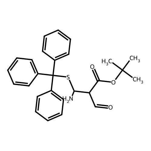 CC(C)(C)OC(=O)C(C=O)C(N)SC(c1ccccc1)(c1ccccc1)c1ccccc1